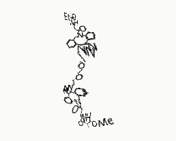 CCC(=O)NCCC(=O)N1Cc2ccccc2-c2c(nnn2CCOCCOCCn2nnc3c2-c2ccccc2CN(C(=O)CCNC(=O)C(C)COC)c2ccccc2-3)-c2ccccc21